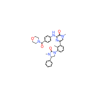 Cc1c(-c2cn(C)c(=O)c(Nc3ccc(C(=O)N4CCOCC4)cc3)n2)cccc1N1CC(c2ccccc2)N(C)C1=O